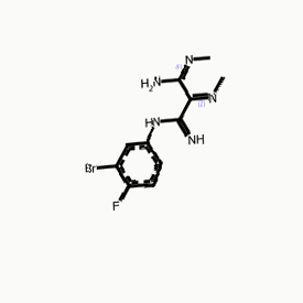 C/N=C(C(=N)Nc1ccc(F)c(Br)c1)\C(N)=N/C